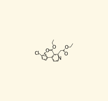 CCOC(=O)Cc1nccc(-c2ccc(Cl)s2)c1C(=O)OCC